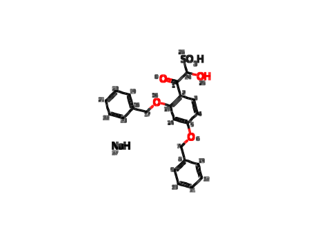 O=C(c1ccc(OCc2ccccc2)cc1OCc1ccccc1)C(O)S(=O)(=O)O.[NaH]